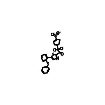 O=C(c1ncc(-c2ccccc2Sc2ccccc2)s1)S(=O)(=O)c1ccc([N+](=O)[O-])cc1